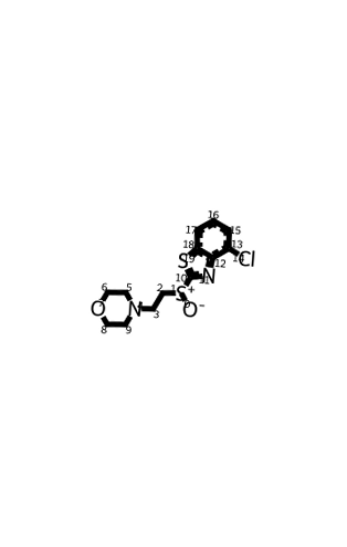 [O-][S+](CCN1CCOCC1)c1nc2c(Cl)cccc2s1